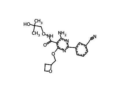 CC(C)(O)CONC(=O)c1c(N)nc(-c2cccc(C#N)c2)nc1OCC1CCO1